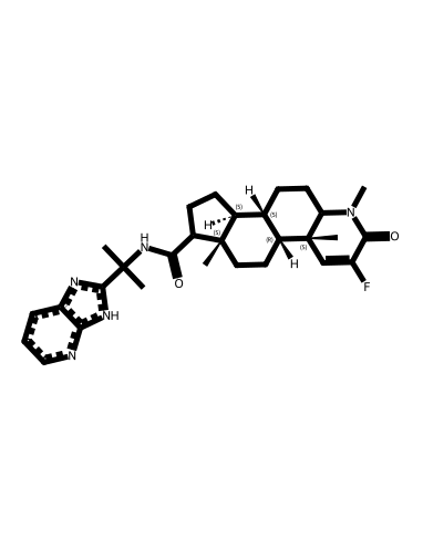 CN1C(=O)C(F)=C[C@@]2(C)C1CC[C@@H]1[C@H]2CC[C@]2(C)C(C(=O)NC(C)(C)c3nc4cccnc4[nH]3)CC[C@@H]12